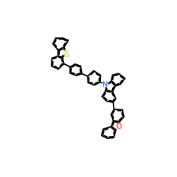 c1ccc2c(c1)oc1ccc(-c3ccc4c(c3)c3ccccc3n4-c3ccc(-c4ccc(-c5cccc6c5sc5ccccc56)cc4)cc3)cc12